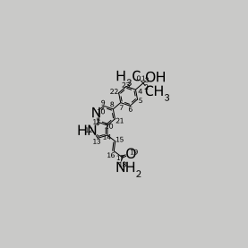 CC(C)(O)c1ccc(-c2cnc3[nH]cc(/C=C/C(N)=O)c3c2)cc1